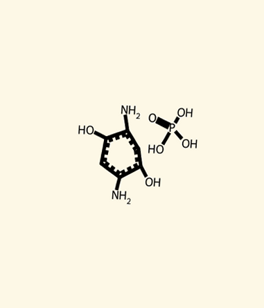 Nc1cc(O)c(N)cc1O.O=P(O)(O)O